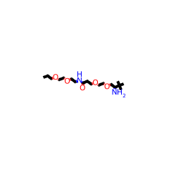 CCCOCCOCCNC(=O)CCOCCOCC(N)C(C)(C)C